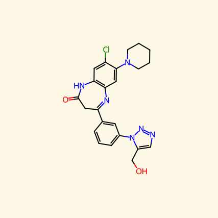 O=C1CC(c2cccc(-n3nncc3CO)c2)=Nc2cc(N3CCCCC3)c(Cl)cc2N1